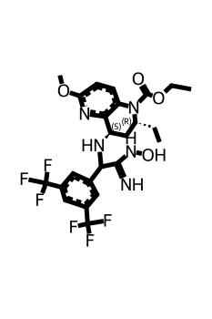 CCOC(=O)N1c2ccc(OC)nc2[C@@H](NC(C(=N)NO)c2cc(C(F)(F)F)cc(C(F)(F)F)c2)C[C@H]1CC